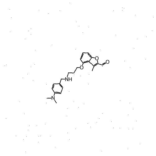 Cc1c([C]=O)oc2cccc(OCCCNCc3ccc(N(C)C)cc3)c12